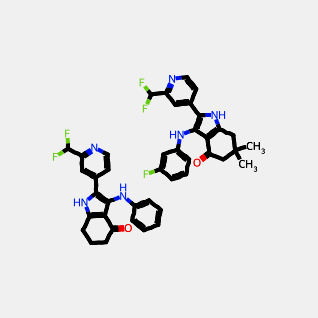 CC1(C)CC(=O)c2c([nH]c(-c3ccnc(C(F)F)c3)c2Nc2cccc(F)c2)C1.O=C1CCCc2[nH]c(-c3ccnc(C(F)F)c3)c(Nc3ccccc3)c21